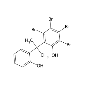 CC(C)(c1ccccc1O)c1c(O)c(Br)c(Br)c(Br)c1Br